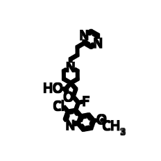 COc1ccc2ncc(Cl)c(C(F)CCC3(C(=O)O)CCN(CCCc4cnccn4)CC3)c2c1